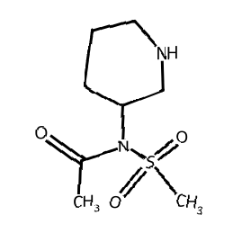 CC(=O)N(C1CCCNC1)S(C)(=O)=O